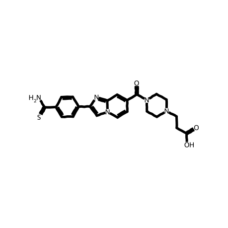 NC(=S)c1ccc(-c2cn3ccc(C(=O)N4CCN(CCC(=O)O)CC4)cc3n2)cc1